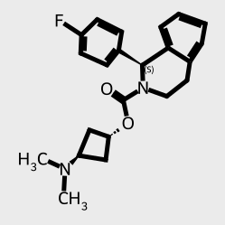 CN(C)[C@H]1C[C@H](OC(=O)N2CCc3ccccc3[C@@H]2c2ccc(F)cc2)C1